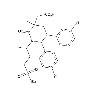 CCC(C)S(=O)(=O)CCC(C)N1C(=O)C(C)(CC(=O)O)CC(c2cccc(Cl)c2)C1c1ccc(Cl)cc1